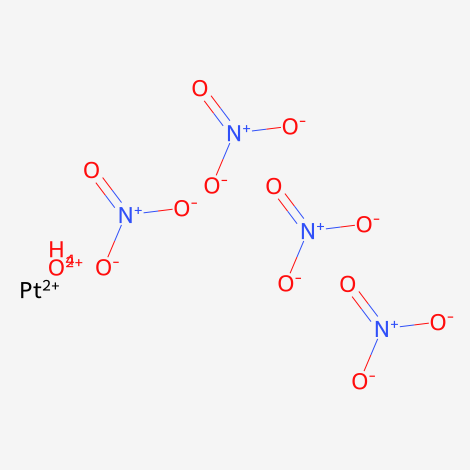 O=[N+]([O-])[O-].O=[N+]([O-])[O-].O=[N+]([O-])[O-].O=[N+]([O-])[O-].[OH4+2].[Pt+2]